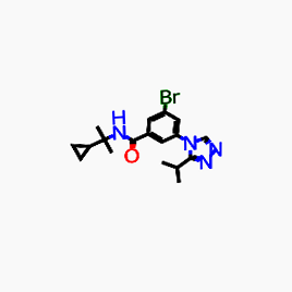 CC(C)c1nncn1-c1cc(Br)cc(C(=O)NC(C)(C)C2CC2)c1